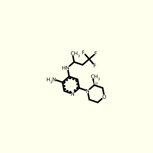 CC(CC(F)(F)F)Nc1cc(N2CCOC[C@@H]2C)ncc1N